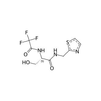 O=C(NCc1nccs1)[C@H](CO)NC(=O)C(F)(F)F